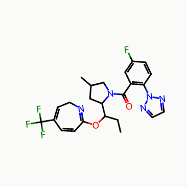 CCC(OC1=NCC=C(C(F)(F)F)C=C1)C1CC(C)CN1C(=O)c1cc(F)ccc1-n1nccn1